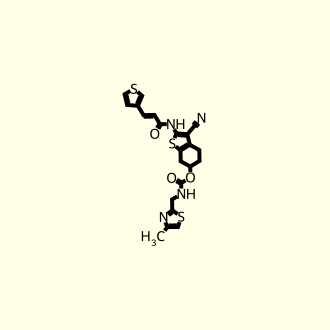 Cc1csc(CNC(=O)OC2CCc3c(sc(NC(=O)C=Cc4ccsc4)c3C#N)C2)n1